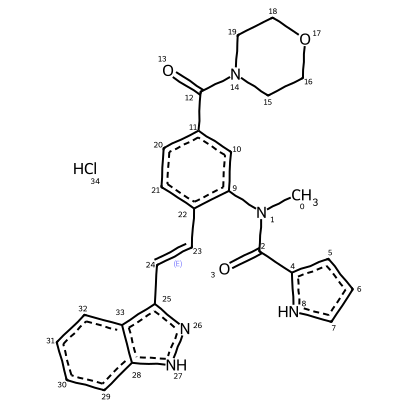 CN(C(=O)c1ccc[nH]1)c1cc(C(=O)N2CCOCC2)ccc1/C=C/c1n[nH]c2ccccc12.Cl